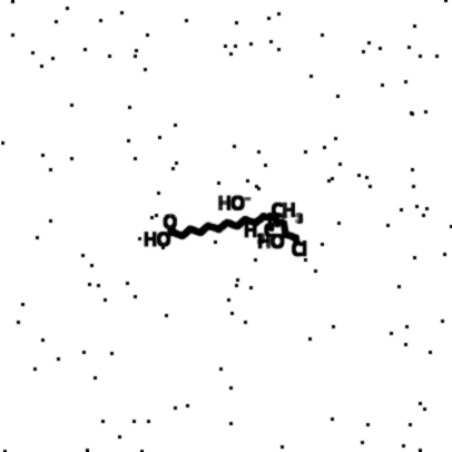 C[N+](C)(CCCCCCCCCCC(=O)O)CC(O)CCl.[OH-]